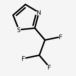 FC(F)C(F)c1nccs1